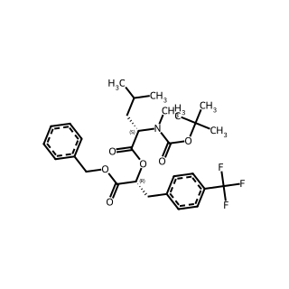 CC(C)C[C@@H](C(=O)O[C@H](Cc1ccc(C(F)(F)F)cc1)C(=O)OCc1ccccc1)N(C)C(=O)OC(C)(C)C